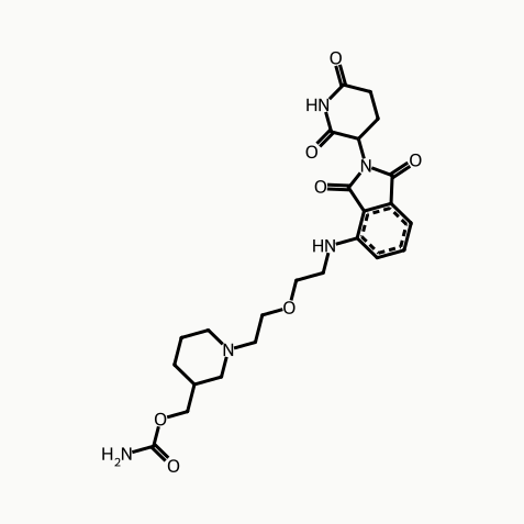 NC(=O)OCC1CCCN(CCOCCNc2cccc3c2C(=O)N(C2CCC(=O)NC2=O)C3=O)C1